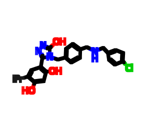 CC(C)c1cc(-c2nnc(O)n2Cc2ccc(CNCc3ccc(Cl)cc3)cc2)c(O)cc1O